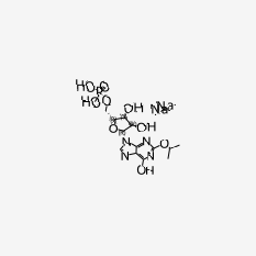 CC(C)Oc1nc(O)c2ncn([C@@H]3O[C@H](COP(=O)(O)O)[C@@H](O)[C@H]3O)c2n1.[Na].[Na]